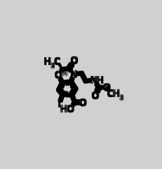 COC(=O)NCCN1C(=O)[C@@H](C)Oc2cc(I)c(C(=O)O)cc21